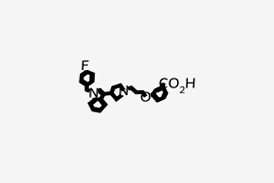 O=C(O)c1cccc(OCCCN2CCC(c3cn(Cc4ccc(F)cc4)c4ccccc34)CC2)c1